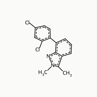 Cc1c2cccc(-c3ccc(Cl)cc3Cl)c2nn1C